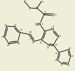 CCC(C)C(=O)Nc1ncc(-c2ccccc2)nc1/C=C/c1ccccc1